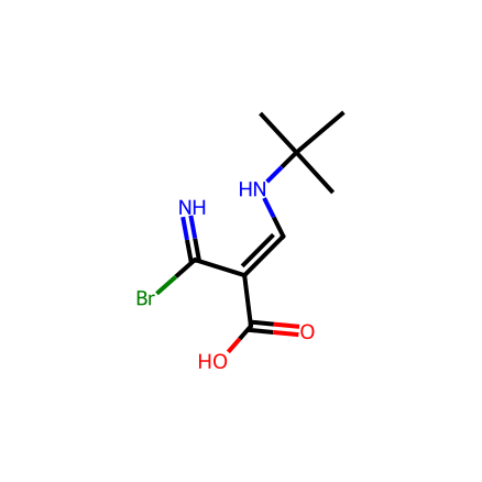 CC(C)(C)N/C=C(\C(=N)Br)C(=O)O